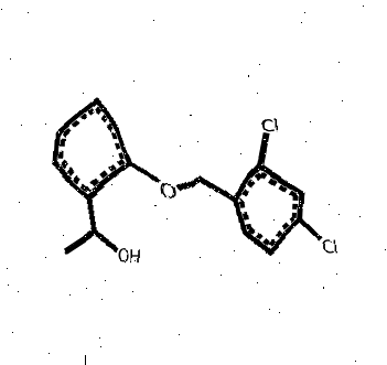 CC(O)c1ccccc1OCc1ccc(Cl)cc1Cl